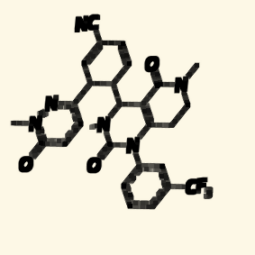 CN1CCC2=C(C1=O)C(C1C=CC(C#N)=CC1c1ccc(=O)n(C)n1)N(C)C(=O)N2c1cccc(C(F)(F)F)c1